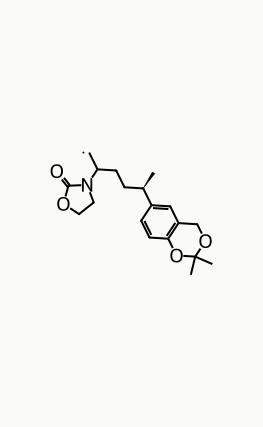 [CH2]C(CC[C@@H](C)c1ccc2c(c1)COC(C)(C)O2)N1CCOC1=O